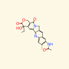 CC[C@@]1(O)C(=O)OCc2c1cc1n(c2=O)Cc2cc3cc(NC(C)=O)c(F)cc3nc2-1